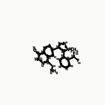 Cn1ncc(-c2ccc3c(=O)[nH]nc(CN)c3c2)c1-c1ccccc1C(F)F